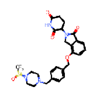 O=C1CCC(N2Cc3c(OCc4ccc(CN5CCN([S+]([O-])C(F)(F)F)CC5)cc4)cccc3C2=O)C(=O)N1